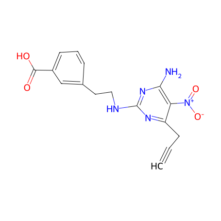 C#CCc1nc(NCCc2cccc(C(=O)O)c2)nc(N)c1[N+](=O)[O-]